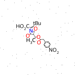 CC(OC(=O)Cc1ccc([N+](=O)[O-])cc1)C1C(=O)N2C(C(=O)O)=C(C(C)(C)C)OC12